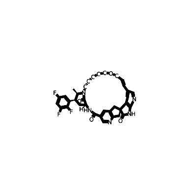 C[C@@H]1[C@H](c2cc(F)cc(F)c2F)C[C@@H]2NC(=O)c3cnc4c(c3)C[C@@]3(C4)C(=O)Nc4ncc(cc43)/C=C/COCCCCCN1C2=O